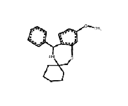 COc1ccc2c(c1)SCC1(CCCCC1)NC2c1ccccc1